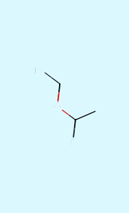 [CH2]C(C)COC(C)CC